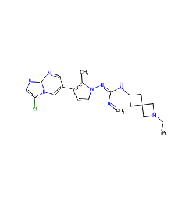 C=N/C(=N\n1ccc(-c2cnc3ncc(Cl)n3c2)c1C)NC1CC2(C1)CN(CC(C)C)C2